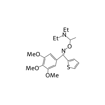 CCN(CC)C(C)ON=C(c1cc(OC)c(OC)c(OC)c1)c1cccs1